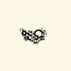 C[C@@H]1CCC[C@H](n2cnc(-c3cc(Cl)ccc3-n3cc(C#N)nn3)cc2=O)c2cc(c3c(n2)OCCO3)-c2c(cnn2C)NC1=O